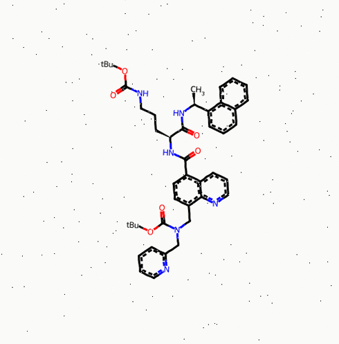 C[C@H](NC(=O)[C@H](CCCNC(=O)OC(C)(C)C)NC(=O)c1ccc(CN(Cc2ccccn2)C(=O)OC(C)(C)C)c2ncccc12)c1cccc2ccccc12